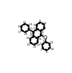 c1ccc(Oc2c3ccccc3c(-c3ccccc3)c3ccccc23)cc1